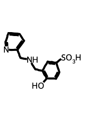 O=S(=O)(O)c1ccc(O)c(CNCc2ccccn2)c1